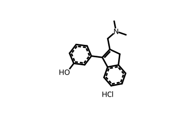 CN(C)CC1=C(c2cccc(O)c2)c2ccccc2C1.Cl